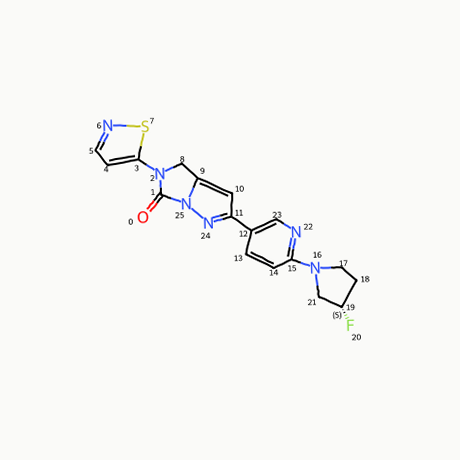 O=C1N(c2ccns2)Cc2cc(-c3ccc(N4CC[C@H](F)C4)nc3)nn21